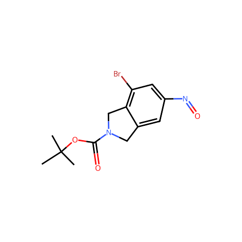 CC(C)(C)OC(=O)N1Cc2cc(N=O)cc(Br)c2C1